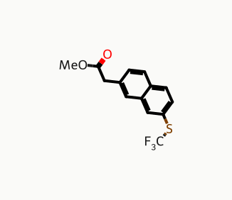 COC(=O)Cc1ccc2ccc(SC(F)(F)F)cc2c1